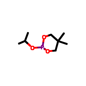 CC(C)OP1OCC(C)(C)CO1